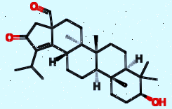 CC(C)C1=C2[C@H]3CC[C@@H]4[C@@]5(C)CC[C@H](O)C(C)(C)[C@@H]5CC[C@@]4(C)[C@]3(C)CCC2(C=O)CC1=O